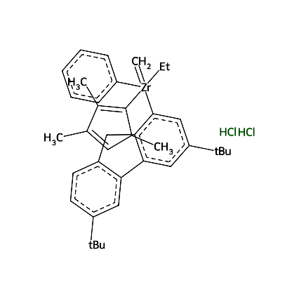 Cl.Cl.[CH2]=[Zr]([CH2]C)([C]1=C(C)C(C)=CC1C)([c]1ccccc1)[c]1cc(C(C)(C)C)cc2c1Cc1ccc(C(C)(C)C)cc1-2